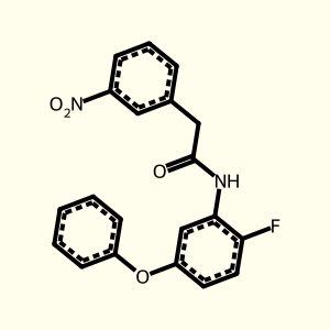 O=C(Cc1cccc([N+](=O)[O-])c1)Nc1cc(Oc2ccccc2)ccc1F